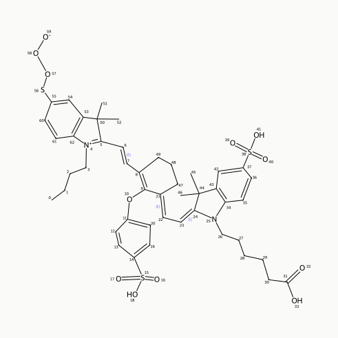 CCCC[N+]1=C(/C=C/C2=C(Oc3ccc(S(=O)(=O)O)cc3)C(=C/C=C3/N(CCCCCC(=O)O)c4ccc(S(=O)(=O)O)cc4C3(C)C)/CCC2)C(C)(C)c2cc(SOO[O-])ccc21